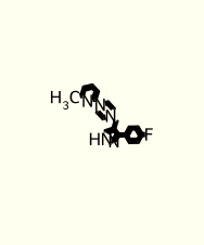 Cc1cccc(N2CCN(Cc3c[nH]nc3-c3ccc(F)cc3)CC2)n1